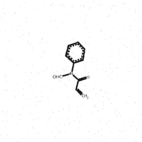 C=CC(=O)N([C]=O)c1ccccc1